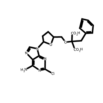 Nc1nc(Cl)nc2c1ncn2C1CCC(COC(Cc2ccccc2)(C(=O)O)C(=O)O)O1